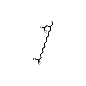 CCC(CCCCCCCCCCCC(=O)Cl)CC(=O)Cl